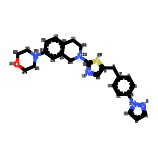 c1cnn(-c2ccc(Cc3cnc(N4CCc5ccc(N6CCOCC6)cc5C4)s3)cc2)c1